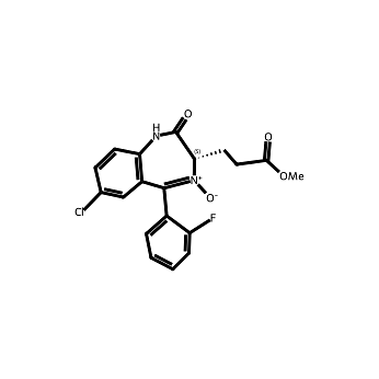 COC(=O)CC[C@H]1C(=O)Nc2ccc(Cl)cc2C(c2ccccc2F)=[N+]1[O-]